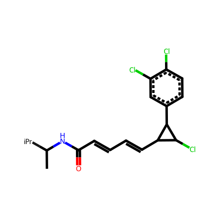 CC(C)C(C)NC(=O)C=CC=CC1C(Cl)C1c1ccc(Cl)c(Cl)c1